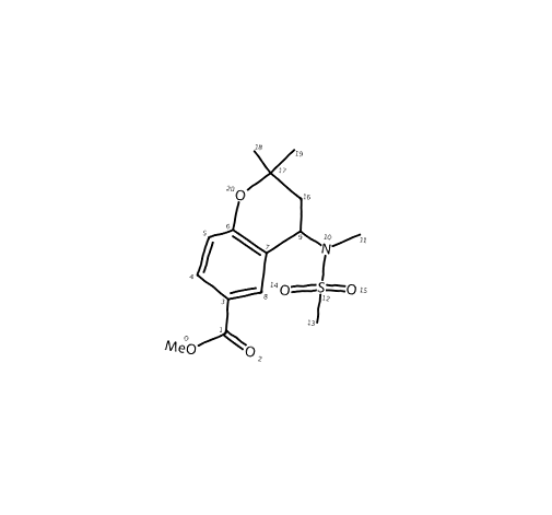 COC(=O)c1ccc2c(c1)C(N(C)S(C)(=O)=O)CC(C)(C)O2